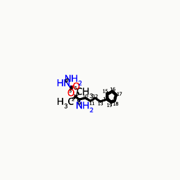 CC(C)(OC(=O)NN)C(N)CCCCc1ccccc1